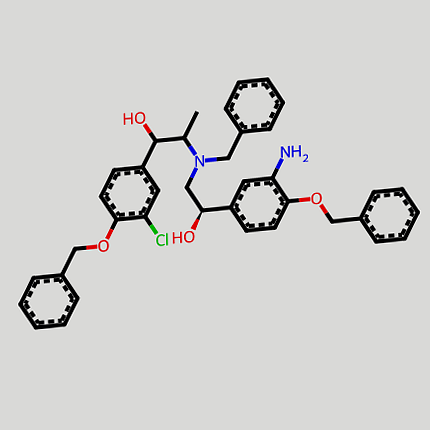 CC(C(O)c1ccc(OCc2ccccc2)c(Cl)c1)N(Cc1ccccc1)C[C@H](O)c1ccc(OCc2ccccc2)c(N)c1